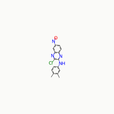 Cc1ccc(Nc2nc3ccc(N=O)cc3nc2Cl)cc1C